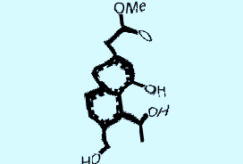 COC(=O)Cc1cc(O)c2c(C(C)O)c(CO)ccc2c1